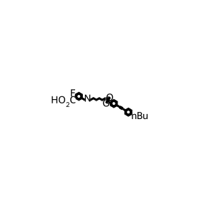 CCCCc1ccc(C#Cc2ccc(S(=O)(=O)CCCCCCN=Cc3ccc(F)c(C(=O)O)c3)cc2)cc1